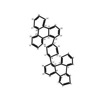 c1ccc2c(c1)c1ccccc1c1c(-c3ccc(-c4cccc5c6ccccc6c6ccccc6c45)cc3)cccc21